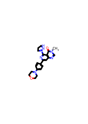 Cn1cnc2cc(-c3ccc(N4CCOCC4)cc3)nc(N3CCCN3)c2c1=O